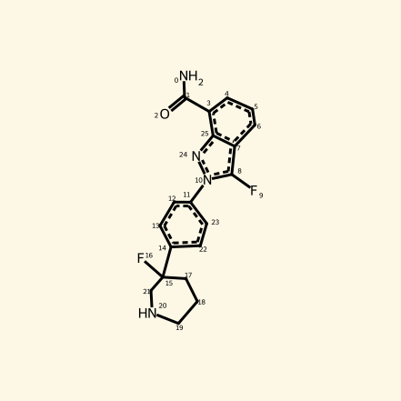 NC(=O)c1cccc2c(F)n(-c3ccc(C4(F)CCCNC4)cc3)nc12